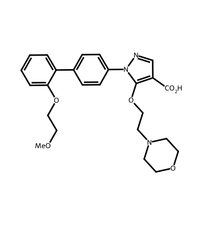 COCCOc1ccccc1-c1ccc(-n2ncc(C(=O)O)c2OCCN2CCOCC2)cc1